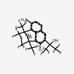 Nc1ccc2cc(C(O)(C(F)(F)F)C(F)(F)F)c(N)c(C(O)(C(F)(F)F)C(F)(F)F)c2c1C(O)(C(F)(F)F)C(F)(F)F